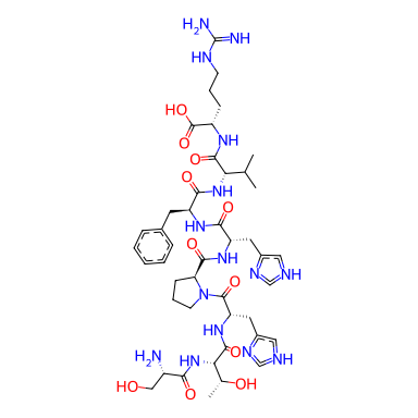 CC(C)[C@H](NC(=O)[C@H](Cc1ccccc1)NC(=O)[C@H](Cc1c[nH]cn1)NC(=O)[C@@H]1CCCN1C(=O)[C@H](Cc1c[nH]cn1)NC(=O)[C@@H](NC(=O)[C@@H](N)CO)[C@@H](C)O)C(=O)N[C@@H](CCCNC(=N)N)C(=O)O